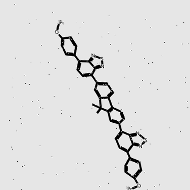 CC(C)Oc1ccc(-c2ccc(-c3ccc4c(c3)C(C)(C)c3cc(-c5ccc(-c6ccc(OC(C)C)cc6)c6nsnc56)ccc3-4)c3nsnc23)cc1